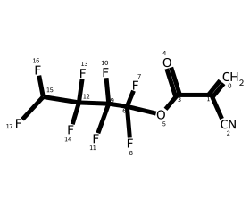 C=C(C#N)C(=O)OC(F)(F)C(F)(F)C(F)(F)C(F)F